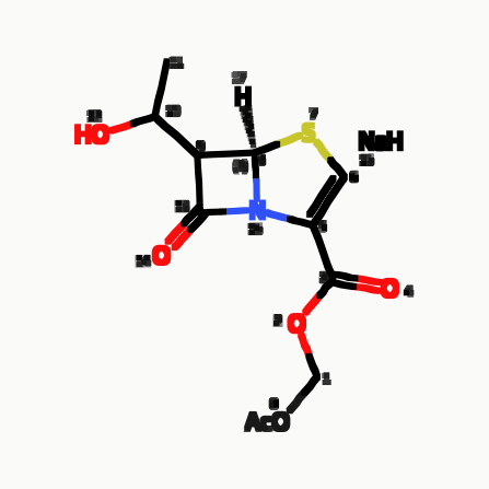 CC(=O)OCOC(=O)C1=CS[C@@H]2C(C(C)O)C(=O)N12.[NaH]